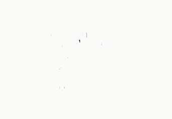 O=S1(=O)c2ccccc2S(=O)(=O)C1(F)[C@@H](O)/C=C/c1ccccc1